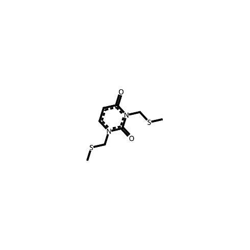 CSCn1ccc(=O)n(CSC)c1=O